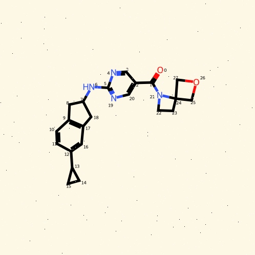 O=C(c1cnc(NC2Cc3ccc(C4CC4)cc3C2)nc1)N1CCC12COC2